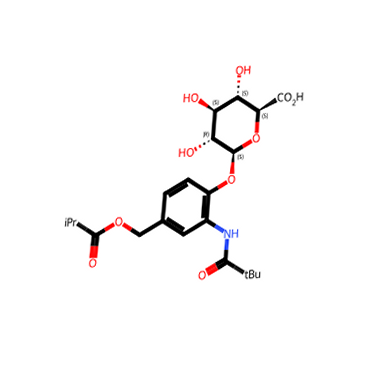 CC(C)C(=O)OCc1ccc(O[C@@H]2O[C@H](C(=O)O)[C@@H](O)[C@H](O)[C@H]2O)c(NC(=O)C(C)(C)C)c1